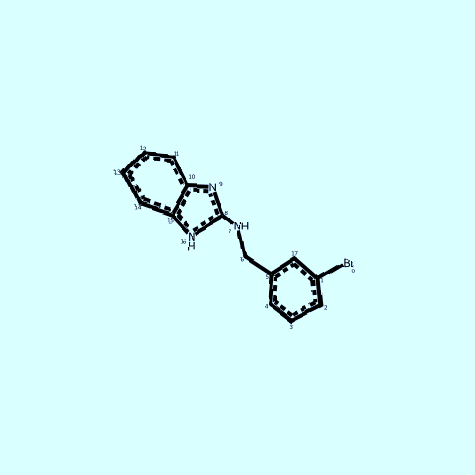 Brc1cccc(CNc2nc3ccccc3[nH]2)c1